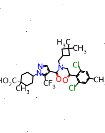 Cc1cc(Cl)c(C(=O)CN(CC2CC(C)(C)C2)C(=O)c2cnn([C@H]3CC[C@](C)(C(=O)O)CC3)c2C(F)(F)F)c(Cl)c1